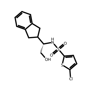 O=S(=O)(N[C@H](CO)C1Cc2ccccc2C1)c1ccc(Cl)s1